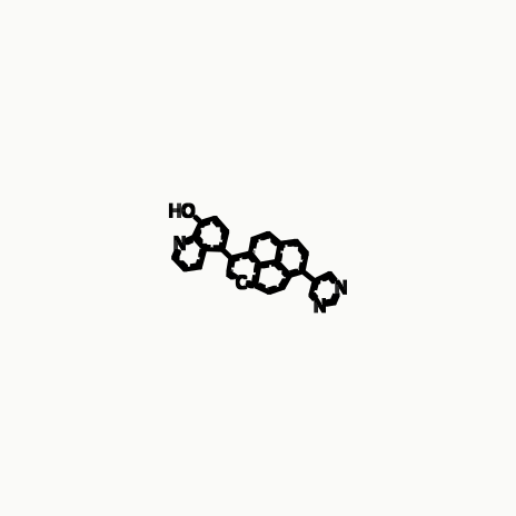 Oc1ccc(-c2ccc3ccc4c(-c5cncnc5)ccc5ccc2c3c54)c2cccnc12